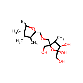 CCC1O[C@H](COC[C@]2(CO)O[C@@](O)(CO)[C@H](O)C2C)C(C)[C@H](C)[C@@H]1C